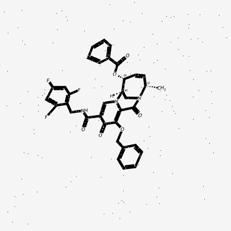 C[C@H]1C=C[C@@H](OC(=O)c2ccccc2)[C@H]2CN1C(=O)c1c(OCc3ccccc3)c(=O)c(C(=O)NCc3c(F)cc(F)cc3F)cn12